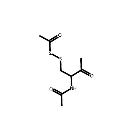 CC(=O)NC(CSSC(C)=O)C(C)=O